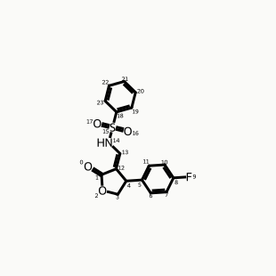 O=C1OCC(c2ccc(F)cc2)C1=CNS(=O)(=O)c1ccccc1